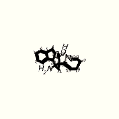 NC1(C2CCc3ccccc32)CC1(C(=O)O)c1ccccn1